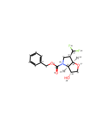 O=C(OCc1ccccc1)N1C[C@@H](C(F)F)[C@H]2OC[C@H](O)[C@H]21